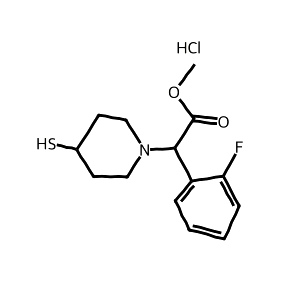 COC(=O)C(c1ccccc1F)N1CCC(S)CC1.Cl